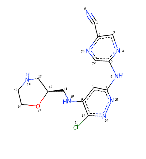 N#Cc1cnc(Nc2cc(NC[C@@H]3CNCCO3)c(Cl)nn2)cn1